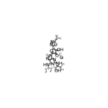 CCC(CC)Nc1nc(N[C@H](CO)C(C)C)nc2c1ncn2[C@@H]1O[C@H](c2nnc(C3CC3)o2)[C@@H](O)[C@H]1OC=O